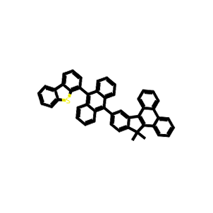 CC1(C)c2ccc(-c3c4ccccc4c(-c4cccc5c4sc4ccccc45)c4ccccc34)cc2-c2c1c1ccccc1c1ccccc21